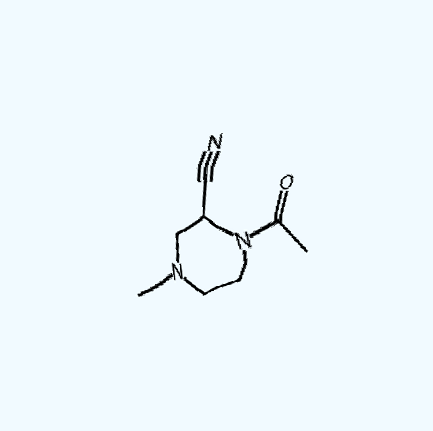 CC(=O)N1CCN(C)CC1C#N